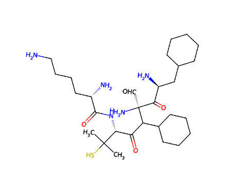 CC(C)(S)[C@H](NC(=O)[C@@H](N)CCCCN)C(=O)C(C1CCCCC1)[C@](N)([C]=O)C(=O)[C@@H](N)CC1CCCCC1